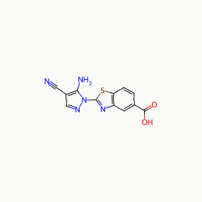 N#Cc1cnn(-c2nc3cc(C(=O)O)ccc3s2)c1N